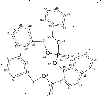 O=C(OCc1ccccc1)c1ccc2ccccc2c1OP(=O)(OCc1ccccc1)OCc1ccccc1